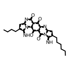 CCCCCCc1cc2nc3c(=O)c4c(=O)nc5cc(CCCC)c(=N)n5c4c(=O)c3c(=O)n2c1=N